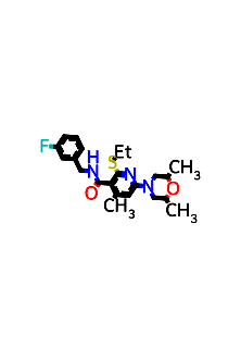 CCSc1nc(N2CC(C)OC(C)C2)cc(C)c1C(=O)NCc1cccc(F)c1